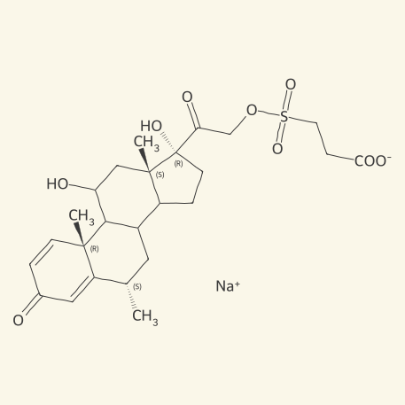 C[C@H]1CC2C(C(O)C[C@@]3(C)C2CC[C@]3(O)C(=O)COS(=O)(=O)CCC(=O)[O-])[C@@]2(C)C=CC(=O)C=C12.[Na+]